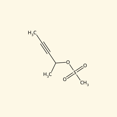 CC#CC(C)OS(C)(=O)=O